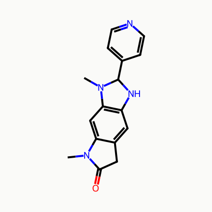 CN1C(=O)Cc2cc3c(cc21)N(C)C(c1ccncc1)N3